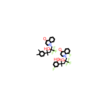 CC(C)(CC(O)(Cn1ccc(=O)c2cccc(F)c21)C(F)(F)F)c1cc(F)ccc1O.Cc1ccc(C(C)(C)CC(O)(Cn2ccc(=O)c3ccccc32)C(F)(F)F)cc1C